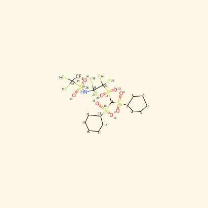 O=S(=O)(C1CCCCC1)C(S(=O)(=O)C1CCCCC1)S(=O)(=O)C(F)(F)C(F)(F)NS(=O)(=O)C(F)(F)C(F)(F)F